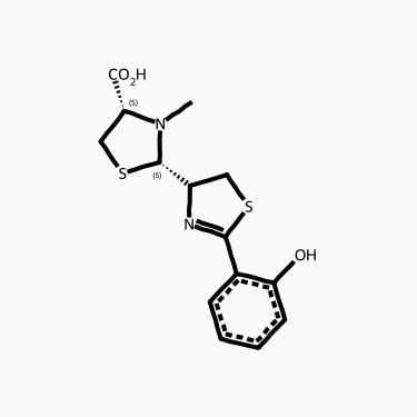 CN1[C@@H](C(=O)O)CS[C@H]1C1CSC(c2ccccc2O)=N1